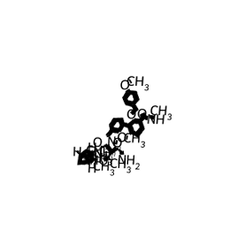 CNC(=O)c1cccc(-c2cccc(CN3O[C@@H](CN)[C@@H]([C@H](C)O)[C@H]3C(=O)N[C@H]3C[C@H]4C[C@@H]([C@@H]3C)C4(C)C)c2OC)c1OCc1ccc(OC)cc1